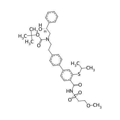 COCCS(=O)(=O)NC(=O)c1ccc(-c2ccc(CCN(C[C@H](O)c3ccccc3)C(=O)OC(C)(C)C)cc2)cc1SC(C)C